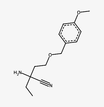 CCC(N)(C#N)CCOCc1ccc(OC)cc1